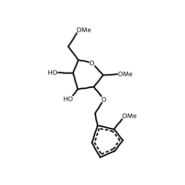 COCC1OC(OC)C(OCc2ccccc2OC)C(O)C1O